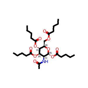 CCCCC(=O)OC[C@H]1O[C@H](OC(=O)CCCC)[C@@H](NC(C)=O)[C@@H](OC(=O)CCCC)[C@@H]1OC(=O)CCCC